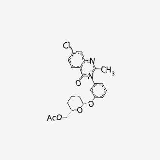 CC(=O)OC[C@@H]1CCC[C@H](Oc2cccc(-n3c(C)nc4cc(Cl)ccc4c3=O)c2)O1